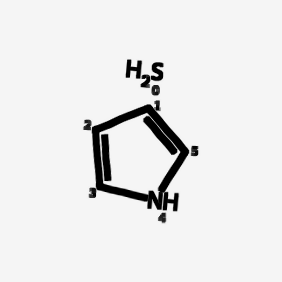 S.c1cc[nH]c1